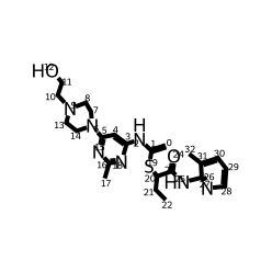 C=C(Nc1cc(N2CCN(CCO)CC2)nc(C)n1)SC(CC)C(=O)Nc1ncccc1C